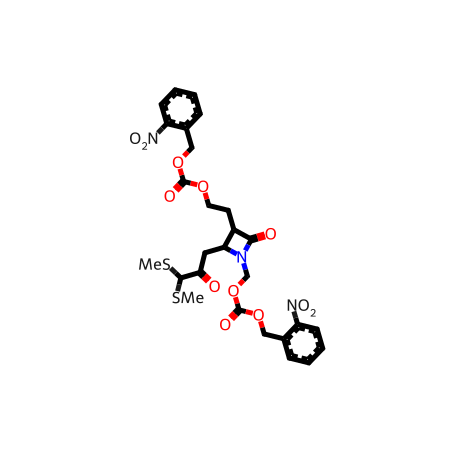 CSC(SC)C(=O)CC1C(CCOC(=O)OCc2ccccc2[N+](=O)[O-])C(=O)N1COC(=O)OCc1ccccc1[N+](=O)[O-]